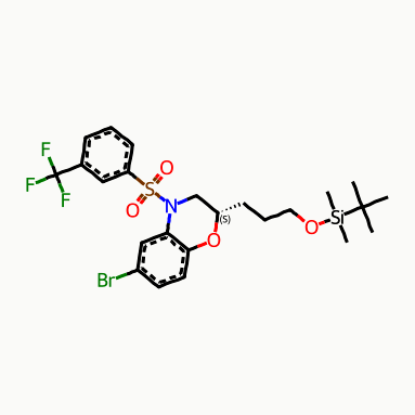 CC(C)(C)[Si](C)(C)OCCC[C@H]1CN(S(=O)(=O)c2cccc(C(F)(F)F)c2)c2cc(Br)ccc2O1